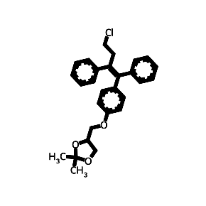 CC1(C)OCC(COc2ccc(C(=C(CCCl)c3ccccc3)c3ccccc3)cc2)O1